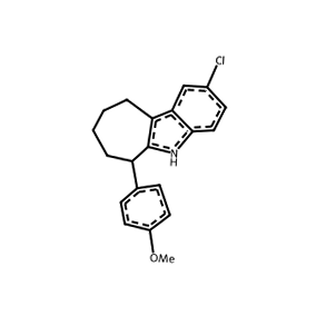 COc1ccc(C2CCCCc3c2[nH]c2ccc(Cl)cc32)cc1